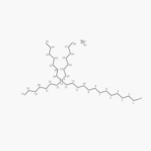 CCCCCCCCCCCCCC[N+](CCCCCCC)(CCCCCCC)CCCCCCC.[Br-]